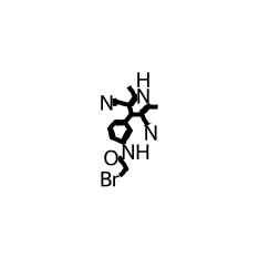 CC1=C(C#N)C(c2cccc(NC(=O)CBr)c2)C(C#N)=C(C)N1